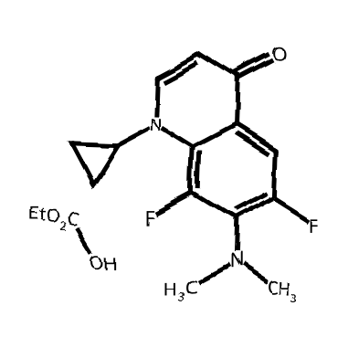 CCOC(=O)O.CN(C)c1c(F)cc2c(=O)ccn(C3CC3)c2c1F